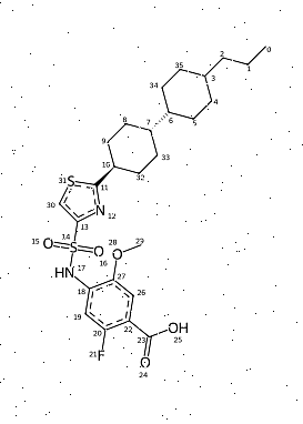 CCCC1CCC([C@H]2CC[C@H](c3nc(S(=O)(=O)Nc4cc(F)c(C(=O)O)cc4OC)cs3)CC2)CC1